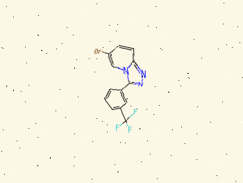 FC(F)(F)c1cccc(-c2nnc3ccc(Br)cn23)c1